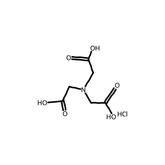 Cl.O=C(O)CN(CC(=O)O)CC(=O)O